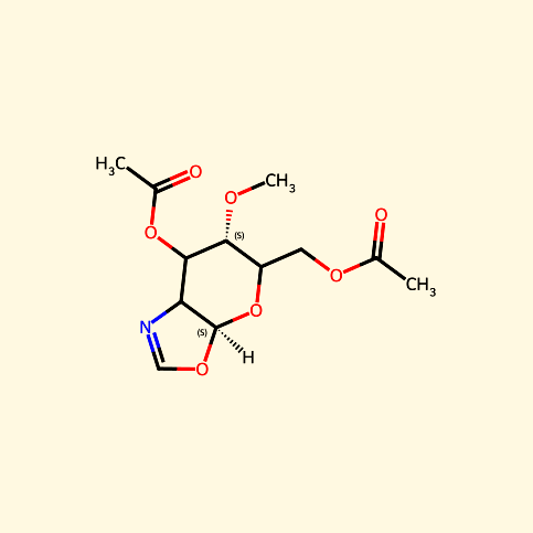 CO[C@@H]1C(COC(C)=O)O[C@H]2OC=NC2C1OC(C)=O